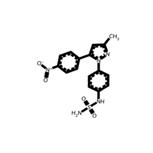 Cc1cc(-c2ccc([N+](=O)[O-])cc2)n(-c2ccc(NS(N)(=O)=O)cc2)n1